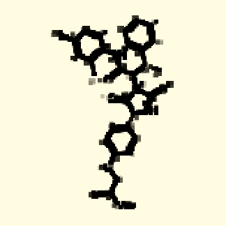 CNC(=O)COc1ccc([C@H]2NC(=O)N(C(C(=O)Nc3ccc(I)cc3F)[C@@H](C)c3ccccc3)C2=O)cc1